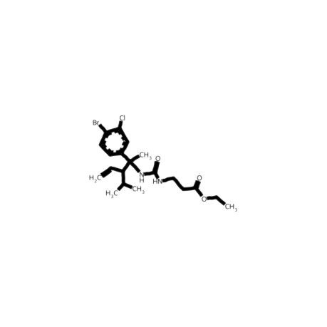 C=CC(C(C)C)C(C)(NC(=O)NCCC(=O)OCC)c1ccc(Br)c(Cl)c1